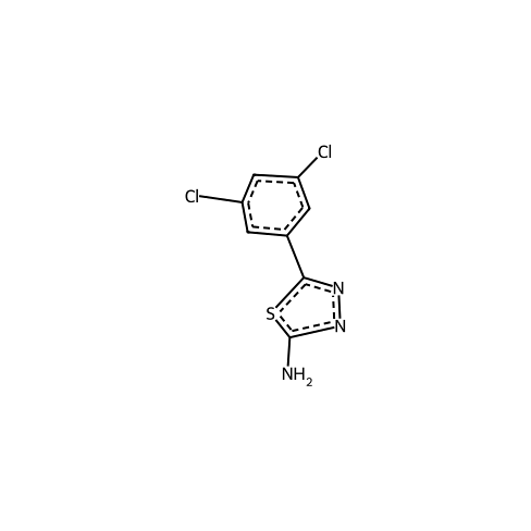 Nc1nnc(-c2cc(Cl)cc(Cl)c2)s1